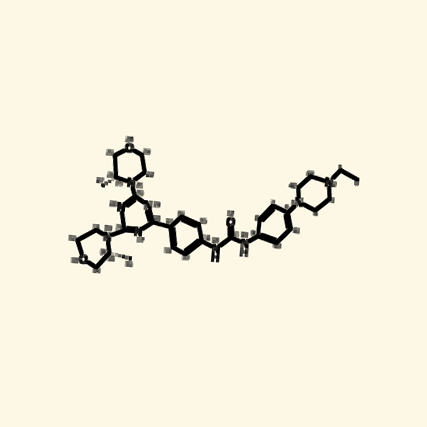 CCN1CCN(c2ccc(NC(=O)Nc3ccc(-c4nc(N5CCOC[C@H]5C)nc(N5CCOC[C@H]5C)n4)cc3)cc2)CC1